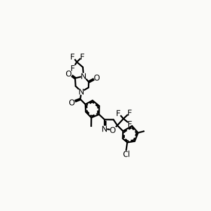 Cc1cc(Cl)cc(C2(C(F)(F)F)CC(c3ccc(C(=O)N4CC(=O)N(CC(F)(F)F)C(=O)C4)cc3C)=NO2)c1